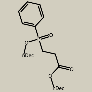 CCCCCCCCCCOC(=O)CCP(=O)(OCCCCCCCCCC)c1ccccc1